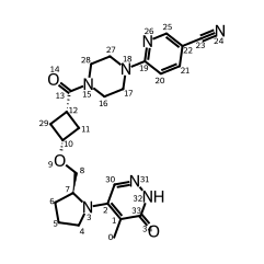 Cc1c(N2CCC[C@H]2CO[C@H]2C[C@@H](C(=O)N3CCN(c4ccc(C#N)cn4)CC3)C2)cn[nH]c1=O